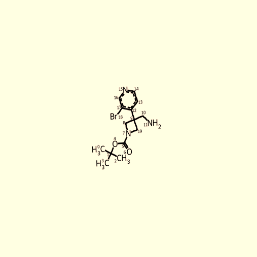 CC(C)(C)OC(=O)N1CC(CN)(c2ccncc2Br)C1